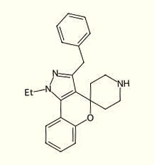 CCn1nc(Cc2ccccc2)c2c1-c1ccccc1OC21CCNCC1